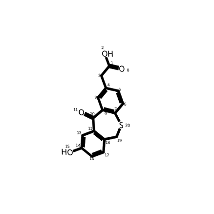 O=C(O)Cc1ccc2c(c1)C(=O)c1cc(O)ccc1CS2